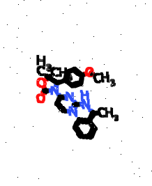 COc1ccc(C2N(c3ccnc(NC(C)c4ccccc4)n3)C(=O)OC2(C)C)cc1